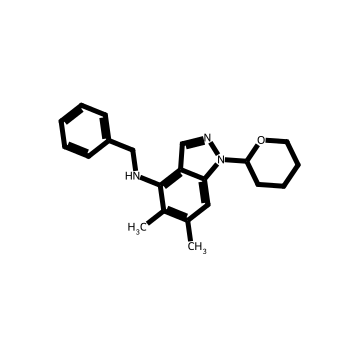 Cc1cc2c(cnn2C2CCCCO2)c(NCc2ccccc2)c1C